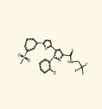 CS(=O)(=O)c1cccc(-c2ccc(-c3cc(C(=S)NCC(F)(F)F)nn3-c3ccccc3Cl)s2)c1